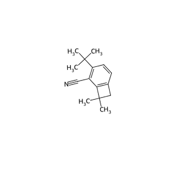 CC(C)(C)c1ccc2c(c1C#N)C(C)(C)C2